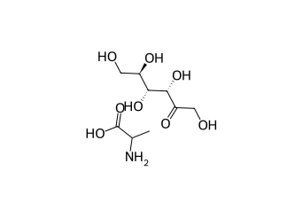 CC(N)C(=O)O.O=C(CO)[C@@H](O)[C@H](O)[C@H](O)CO